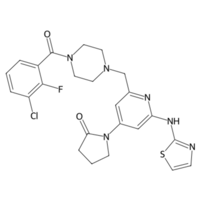 O=C(c1cccc(Cl)c1F)N1CCN(Cc2cc(N3CCCC3=O)cc(Nc3nccs3)n2)CC1